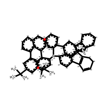 CC(C)(C)c1cc(-c2cccc3cccc(-c4ccccc4N(c4ccc5c(c4)C(C)(C)C4=C5C=CCC4)c4ccccc4-c4ccc5oc6ccccc6c5c4)c23)cc(C(C)(C)C)c1